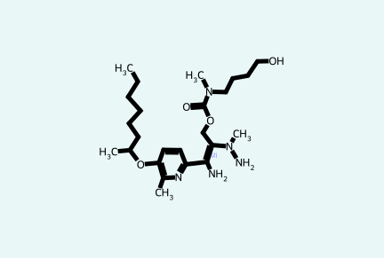 CCCCCCC(C)Oc1ccc(/C(N)=C(\COC(=O)N(C)CCCCO)N(C)N)nc1C